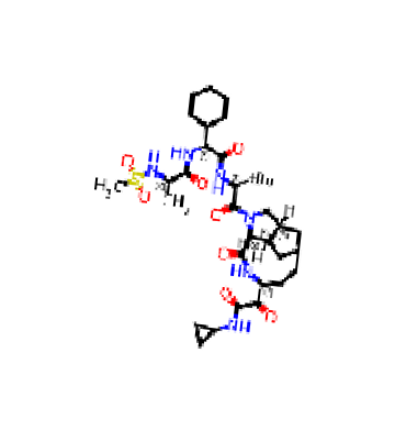 C[C@@H](NS(C)(=O)=O)C(=O)N[C@H](C(=O)N[C@H](C(=O)N1C[C@@H]2CC3CC[C@@H](C(=O)C(=O)NC4CC4)NC(=O)[C@@H]1[C@H]2C3)C(C)(C)C)C1CCCCC1